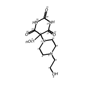 CCCCCCCCC1(N2CCN(CCO)CC2)C(=O)NC(=O)NC1=O